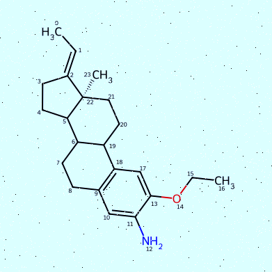 CC=C1CCC2C3CCc4cc(N)c(OCC)cc4C3CC[C@]12C